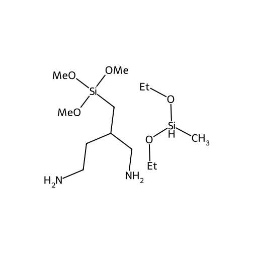 CCO[SiH](C)OCC.CO[Si](CC(CN)CCN)(OC)OC